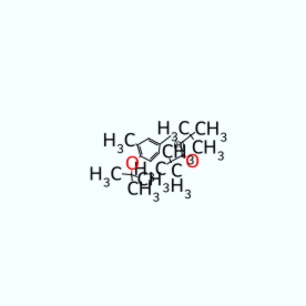 Cc1cc(C[C@@H](C(=O)C(C)(C)C)C(C)(C)C)ccc1OC(C)(C)C